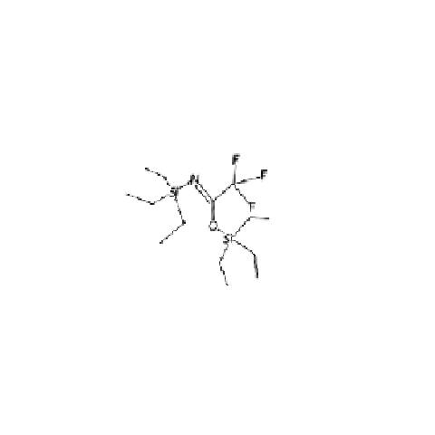 CC[Si](CC)(CC)/N=C(\O[Si](CC)(CC)CC)C(F)(F)F